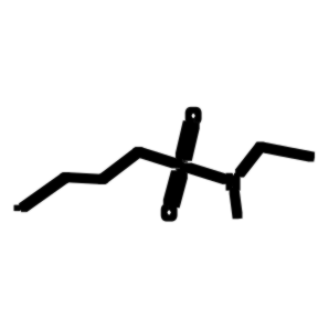 [CH2]CCCS(=O)(=O)N(C)CC